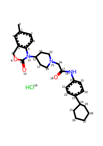 Cc1ccc2c(c1)COC(=O)N2C1CCN(CC(=O)Nc2ccc(C3CCCCC3)cc2)CC1.Cl